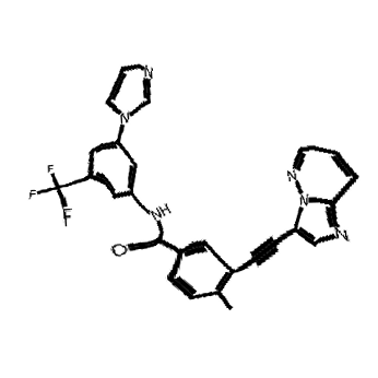 Cc1ccc(C(=O)Nc2cc(-n3ccnc3)cc(C(F)(F)F)c2)cc1C#Cc1cnc2cccnn12